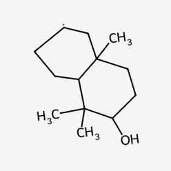 CC12C[CH]CCC1C(C)(C)C(O)CC2